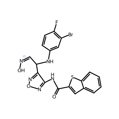 O=C(Nc1nonc1C(/C=N\O)Nc1ccc(F)c(Br)c1)c1cc2ccccc2s1